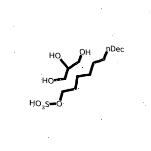 CCCCCCCCCCCCCCCCOS(=O)(=O)O.OCC(O)CO